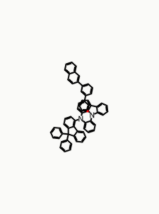 c1ccc(C2(c3ccccc3)c3ccccc3-c3c(N(c4ccc(-c5cccc(-c6ccc7ccccc7c6)c5)cc4)c4ccccc4-n4c5ccccc5c5ccccc54)cccc32)cc1